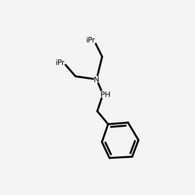 CC(C)CN(CC(C)C)PCc1ccccc1